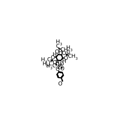 COP(=O)(Oc1ccc(C=O)cc1)O[C@@H]1[C@@H]2OC(C)(C)O[C@@H]2[C@@H](OC(C)C)[C@@H]2OC(C)(C)O[C@H]21